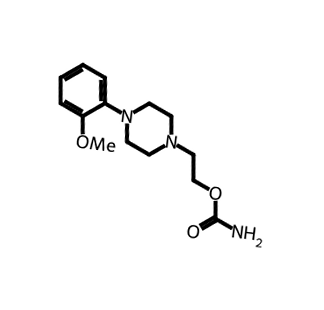 COc1ccccc1N1CCN(CCOC(N)=O)CC1